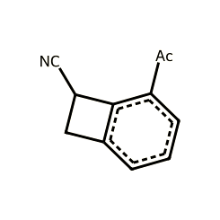 CC(=O)c1cccc2c1C(C#N)C2